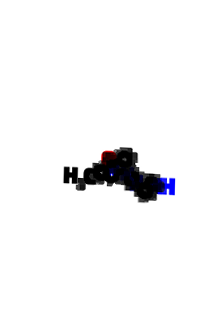 Cc1ccc2c(c1)CCC(CN1CCN(c3cccc4[nH]ccc34)CC1)N2C(=O)C1CCCCC1